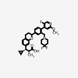 COc1cc(-c2ccc(C3CCc4ccc([C@H](C5CC5)[C@H](C)C(=O)O)cc4O3)cc2CN2CCC(F)(F)CC2)c(F)cn1